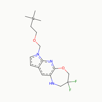 C[Si](C)(C)CCOCn1ccc2cc3c(nc21)OCC(F)(F)CN3